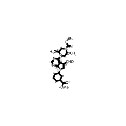 COC(=O)C1CCCC(n2cc(C=O)c3c(N4C[C@H](C)N(C(=O)OC(C)(C)C)CC4C)ncnc32)C1